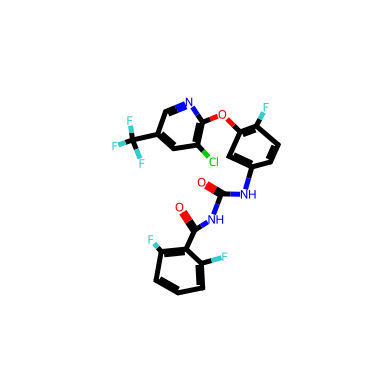 O=C(NC(=O)c1c(F)cccc1F)Nc1ccc(F)c(Oc2ncc(C(F)(F)F)cc2Cl)c1